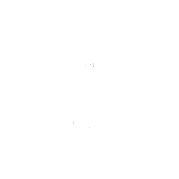 CC(C)CNC(=O)CCC/C=C\CC(C)(C)C